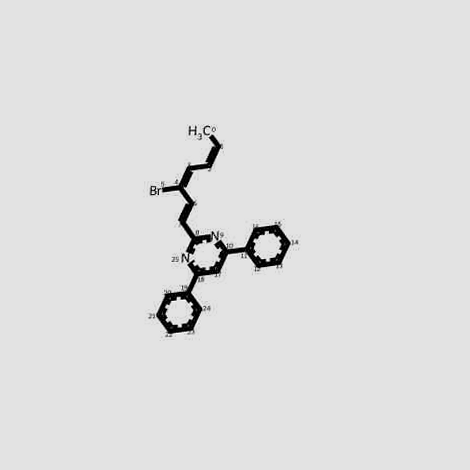 C\C=C/C=C(Br)\C=C\c1nc(-c2ccccc2)cc(-c2ccccc2)n1